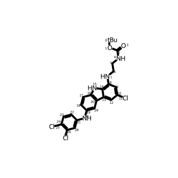 CC(C)(C)OC(=O)NCCNc1cc(Cl)cc2c1[nH]c1ccc(Nc3ccc(Cl)c(Cl)c3)cc12